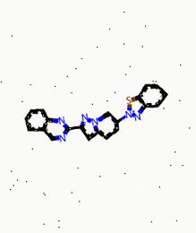 c1ccc2nc(-c3cc4ccc(-[n+]5nc6ccccc6s5)cn4n3)ncc2c1